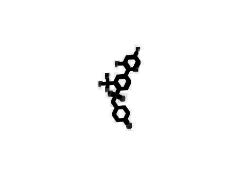 O=C1CCC(CS(=O)(=O)c2ccc(-c3ncc(F)cc3F)cc2C(F)(F)F)CC1